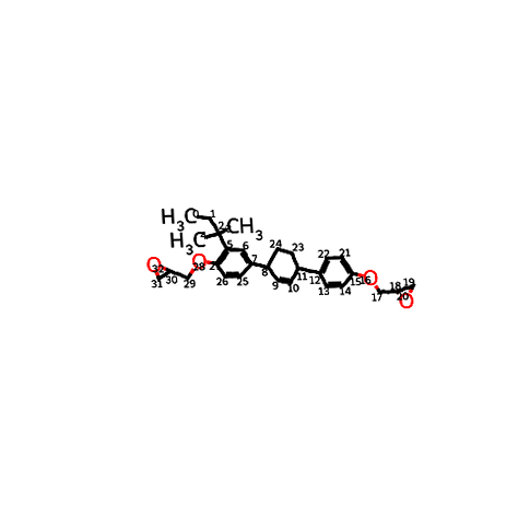 CCC(C)(C)c1cc(C2C=CC(c3ccc(OCC4CO4)cc3)CC2)ccc1OCC1CO1